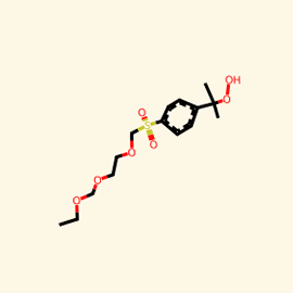 CCOCOCCOCS(=O)(=O)c1ccc(C(C)(C)OO)cc1